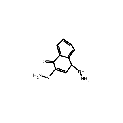 NNC1=CC(NN)c2ccccc2C1=O